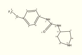 O=C(Nc1ccc(OC(F)(F)F)cc1)NC1CCNCC1